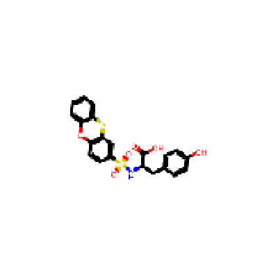 O=C(O)C(Cc1ccc(O)cc1)NS(=O)(=O)c1ccc2c(c1)Sc1ccccc1O2